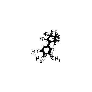 Cc1cc(C2=C(F)C(F)(F)C(F)(F)C2(F)F)cc(C)c1C